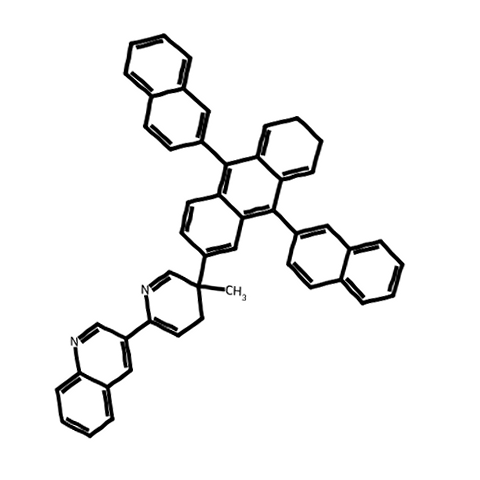 CC1(c2ccc3c(-c4ccc5ccccc5c4)c4c(c(-c5ccc6ccccc6c5)c3c2)=CCCC=4)C=NC(c2cnc3ccccc3c2)=CC1